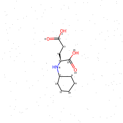 O=C(O)CC[C@H](NC1CCCCC1)C(=O)O